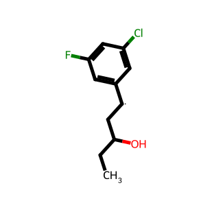 CCC(O)C[CH]c1cc(F)cc(Cl)c1